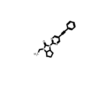 CCN1C(=O)N(c2ncc(C#Cc3ccccc3)cn2)C2CCCC21